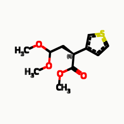 COC(=O)[C@@H](CC(OC)OC)c1ccsc1